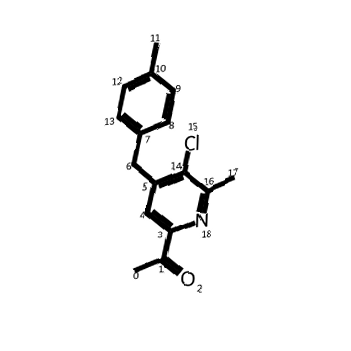 CC(=O)c1cc(Cc2ccc(C)cc2)c(Cl)c(C)n1